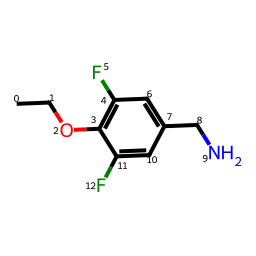 CCOc1c(F)cc(CN)cc1F